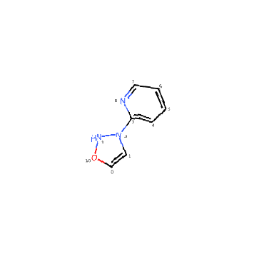 C1=CN(c2ccccn2)NO1